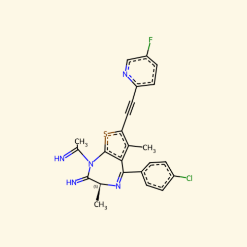 CC(=N)N1C(=N)[C@H](C)N=C(c2ccc(Cl)cc2)c2c1sc(C#Cc1ccc(F)cn1)c2C